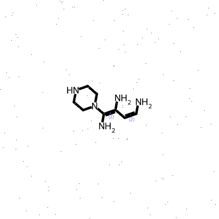 N/C=C\C(N)=C(/N)N1CCNCC1